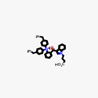 CC(C)Cc1ccc([N+](C)(c2ccc(CC(C)C)cc2)c2ccccc2C(=O)c2cn(CCCC(=O)O)c3ccccc23)cc1